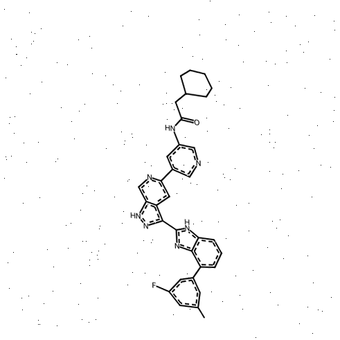 Cc1cc(F)cc(-c2cccc3[nH]c(-c4n[nH]c5cnc(-c6cncc(NC(=O)CC7CCCCC7)c6)cc45)nc23)c1